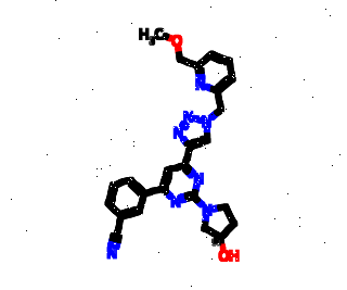 COCc1cccc(Cn2cc(-c3cc(-c4cccc(C#N)c4)nc(N4CC[C@@H](O)C4)n3)nn2)n1